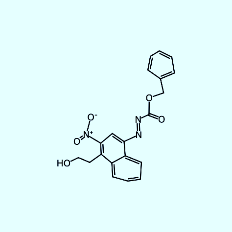 O=C(N=Nc1cc([N+](=O)[O-])c(CCO)c2ccccc12)OCc1ccccc1